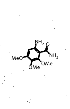 COc1cc(N)c(C(N)=O)c(OC)c1OC